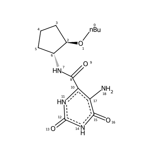 CCCCO[C@@H]1CCC[C@H]1NC(=O)c1[nH]c(=O)[nH]c(=O)c1N